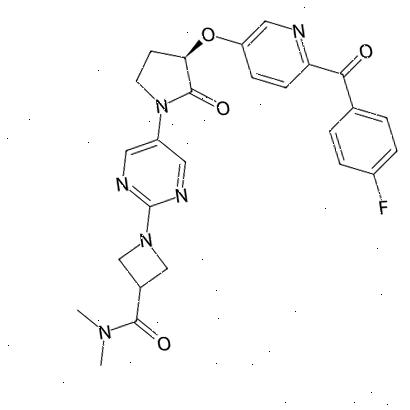 CN(C)C(=O)C1CN(c2ncc(N3CC[C@@H](Oc4ccc(C(=O)c5ccc(F)cc5)nc4)C3=O)cn2)C1